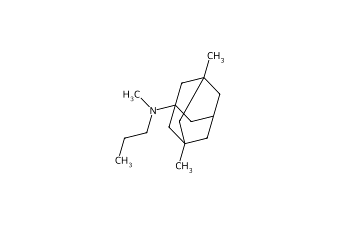 CCCN(C)C12CC3CC(C)(CC(C)(C3)C1)C2